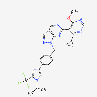 COc1ncnc(C2CC2)c1-c1ncc2cnn(Cc3ccc(-c4cn(C(C)C)c(C(F)(F)F)n4)cc3)c2n1